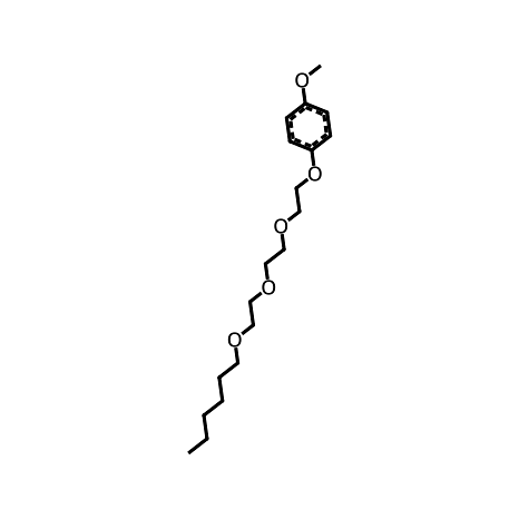 CCCCCCOCCOCCOCCOc1ccc(OC)cc1